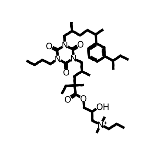 CCCCn1c(=O)n(CC(C)CCC(C)c2cccc(C(C)CC)c2)c(=O)n(CC(C)CC(C)(CC)C(=O)OCC(O)C[N+](C)(C)CCC)c1=O